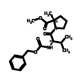 COC(=O)[C@]1(C)CCCN1C(=O)[C@@H](NC(=O)OCc1ccccc1)C(C)C